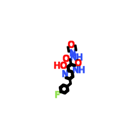 O=C(NN1CCOCC1)c1c(O)c2ncc(Cc3ccc(F)cc3)cc2[nH]c1=O